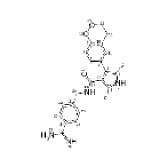 Cc1[nH]c(C)c(-c2ccc3c(c2)CCOO3)c1C(=O)NCc1ccc(C(=N)N)cc1